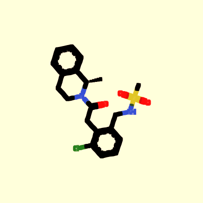 C[C@H]1c2ccccc2CCN1C(=O)Cc1c(Cl)cccc1CNS(C)(=O)=O